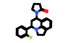 O=C1CCCN1C1CC(c2ccccc2F)N2CCc3cccc1c32